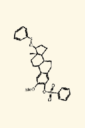 COc1cc2c(cc1OS(=O)(=O)c1ccccc1)CCC1C2CC[C@]2(C)C(OSc3ccccc3)CCC12